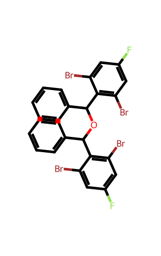 Fc1cc(Br)c(C(OC(c2ccccc2)c2c(Br)cc(F)cc2Br)c2ccccc2)c(Br)c1